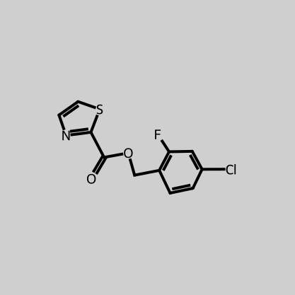 O=C(OCc1ccc(Cl)cc1F)c1nccs1